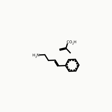 C=C(C)C(=O)O.NCCC=Cc1ccccc1